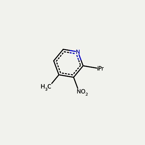 Cc1ccnc(C(C)C)c1[N+](=O)[O-]